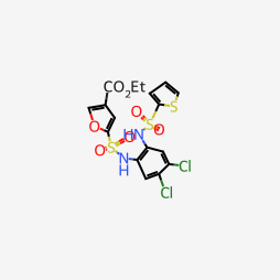 CCOC(=O)c1coc(S(=O)(=O)Nc2cc(Cl)c(Cl)cc2NS(=O)(=O)c2cccs2)c1